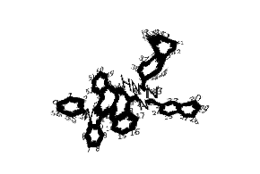 c1ccc(-n2c3ccccc3c3c4c5ccccc5c(C5N=C(c6ccc7ccccc7c6)N=C(c6ccc7ccccc7c6)N5)cc4c4ccccc4c32)cc1